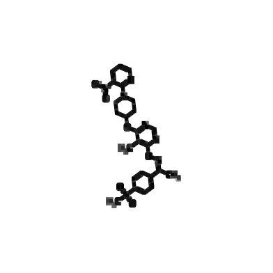 CC(=NOc1ncnc(OC2CCN(c3ncccc3[N+](=O)[O-])CC2)c1C)c1ccc(S(C)(=O)=O)cc1